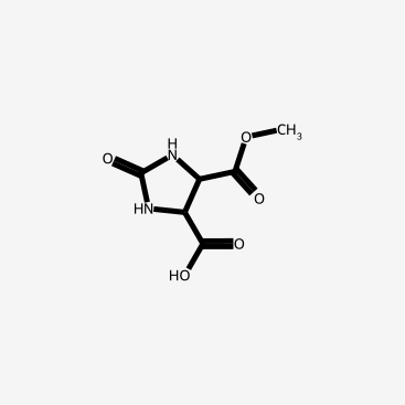 COC(=O)C1NC(=O)NC1C(=O)O